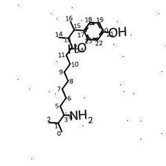 CC(C)C(N)CCCCCCCCC(C)C(C)c1ccc(O)cc1O